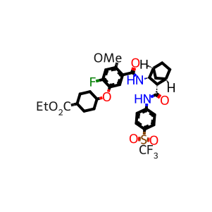 CCOC(=O)C1CCC(Oc2cc(C(=O)N[C@@H]3[C@H]4CC[C@H](C4)[C@@H]3C(=O)Nc3ccc(S(=O)(=O)C(F)(F)F)cc3)c(OC)cc2F)CC1